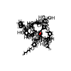 CCCCCCOc1ccc(S(=O)(=O)NC(=O)C[C@@H]2NC(=O)[C@H](NC(=O)[C@@H](CC(C)C)NC)[C@H](O)c3ccc(c(C)c3)Oc3cc4cc(c3O[C@@H]3O[C@H](CO)[C@@H](O)[C@H](O)[C@H]3O)Oc3ccc(cc3Cl)[C@@H](O)[C@@H]3NC(=O)[C@H](NC(=O)[C@@H]4NC2=O)c2ccc(O)c(c2)-c2c(O)cc(O)cc2[C@@H](C(=O)NC2C4CC5CC(C4)CC2C5)NC3=O)cc1